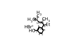 Br.CC[C@@H](c1cccc(O)c1)[C@@H](C)CN(C)C